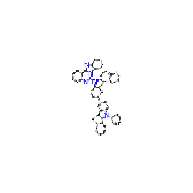 c1ccc(-n2c3ccc(-c4ccc5c(c4)c4c6ccccc6ccc4n5-c4nc5ccccc5c5nc6ccccc6n45)cc3c3ccc4ccccc4c32)cc1